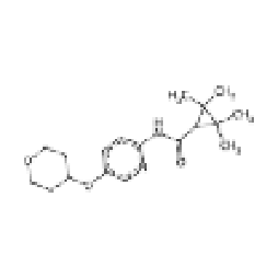 CC1(C)C(C(=O)Nc2ccc(OC3CCOCC3)cn2)C1(C)C